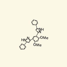 COc1cc(OC)c(-c2cc(-c3ccccc3)[nH]n2)cc1-c1cc(-c2ccccc2)[nH]n1